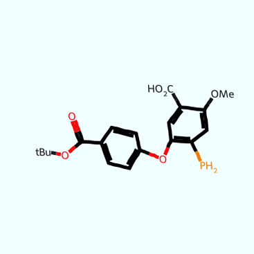 COc1cc(P)c(Oc2ccc(C(=O)OC(C)(C)C)cc2)cc1C(=O)O